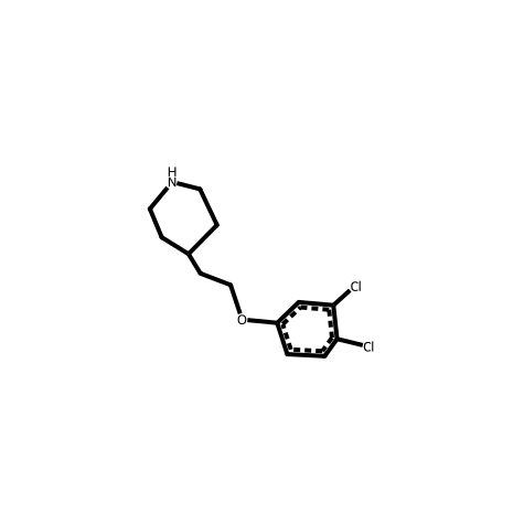 Clc1ccc(OCCC2CCNCC2)cc1Cl